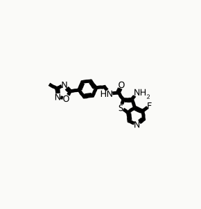 Cc1noc(-c2ccc(CNC(=O)c3sc4cncc(F)c4c3N)cc2)n1